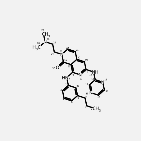 CCCc1cccc(Nc2nc(Nc3cnccn3)cc3ccn(CCN(C)C)c(=O)c23)c1